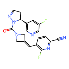 N#Cc1ccc(C=C2CN(C(=O)N3N=CC[C@H]3c3cncc(F)c3)C2)c(F)n1